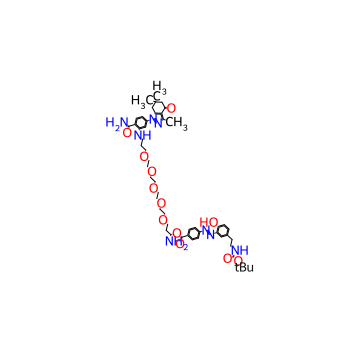 Cc1nn(-c2ccc(C(N)=O)c(NCCCOCCOCCOCCOCCOCCC(N)OC(=O)c3ccc(/N=N/c4cc(CCNC(=O)OC(C)(C)C)ccc4O)cc3)c2)c2c1C(=O)CC(C)(C)C2